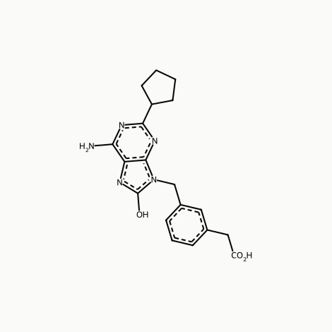 Nc1nc(C2CCCC2)nc2c1nc(O)n2Cc1cccc(CC(=O)O)c1